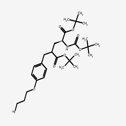 CC(C)(C)OC(=O)N[C@@H](CC(Cc1ccc(OCCC[18F])cc1)C(=O)OC(C)(C)C)C(=O)OC(C)(C)C